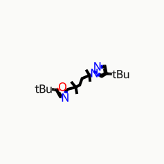 CC(C)(C)c1cnn(C(C)(C)CCC(C)(C)c2ncc(C(C)(C)C)o2)c1